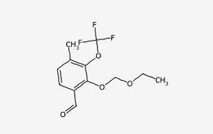 CCOCOc1c(C=O)ccc(C)c1OC(F)(F)F